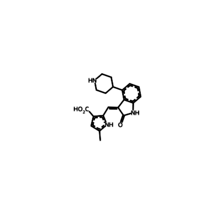 Cc1cc(C(=O)O)c(/C=C2\C(=O)Nc3cccc(C4CCNCC4)c32)[nH]1